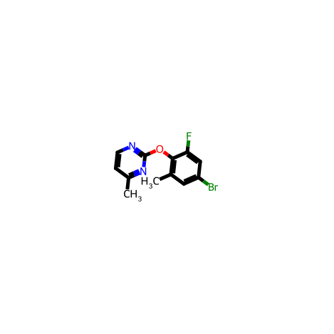 Cc1ccnc(Oc2c(C)cc(Br)cc2F)n1